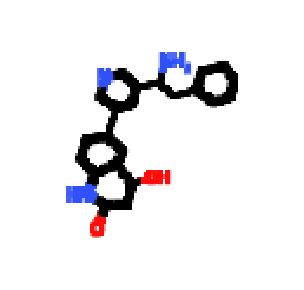 NC(Cc1ccccc1)c1cncc(-c2ccc3[nH]c(=O)cc(O)c3c2)c1